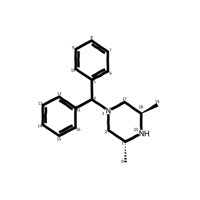 C[C@@H]1CN(C(c2ccccc2)c2ccccc2)C[C@@H](C)N1